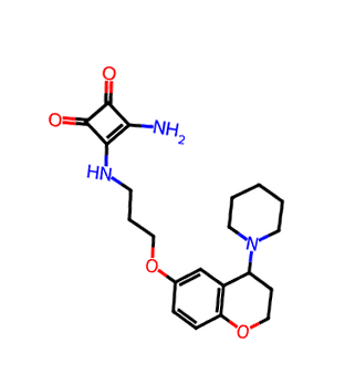 Nc1c(NCCCOc2ccc3c(c2)C(N2CCCCC2)CCO3)c(=O)c1=O